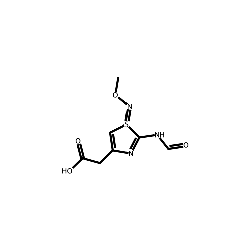 CON=S1C=C(CC(=O)O)N=C1NC=O